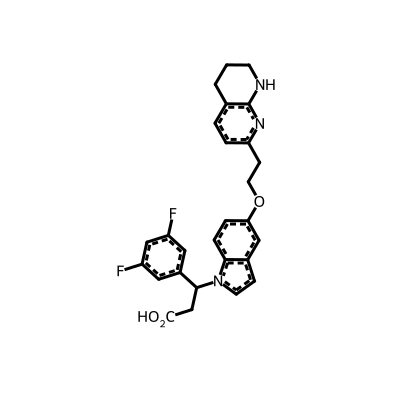 O=C(O)CC(c1cc(F)cc(F)c1)n1ccc2cc(OCCc3ccc4c(n3)NCCC4)ccc21